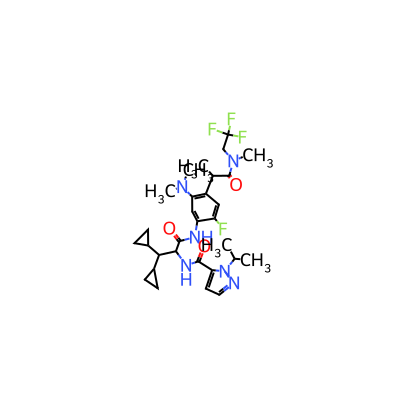 CC(C(=O)N(C)CC(F)(F)F)c1cc(F)c(NC(=O)C(NC(=O)c2ccnn2C(C)C)C(C2CC2)C2CC2)cc1N(C)C